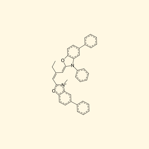 CCC(=Cc1oc2ccc(-c3ccccc3)cc2[n+]1C)C=C1Oc2ccc(-c3ccccc3)cc2N1c1ccccc1